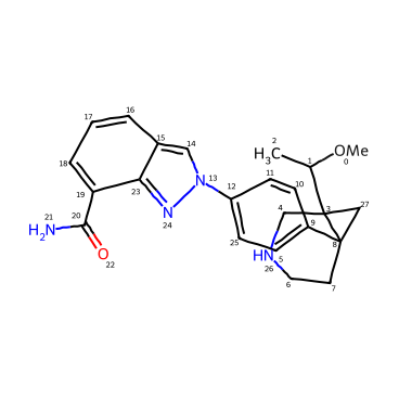 COC(C)C12CNCCC1(c1ccc(-n3cc4cccc(C(N)=O)c4n3)cc1)C2